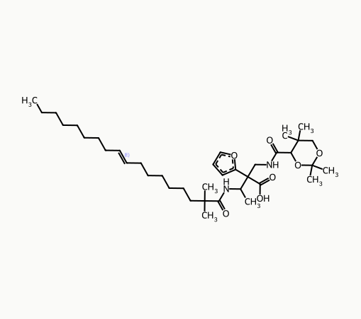 CCCCCCCC/C=C/CCCCCCC(C)(C)C(=O)NC(C)C(CNC(=O)C1OC(C)(C)OCC1(C)C)(C(=O)O)c1ccco1